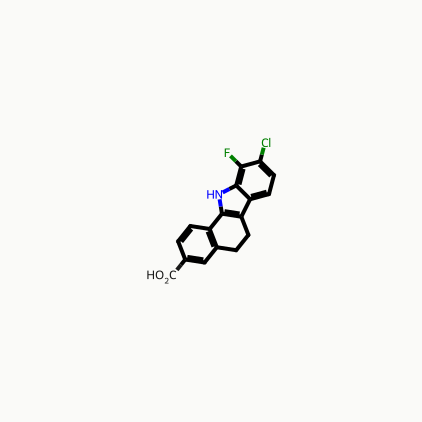 O=C(O)c1ccc2c(c1)CCc1c-2[nH]c2c(F)c(Cl)ccc12